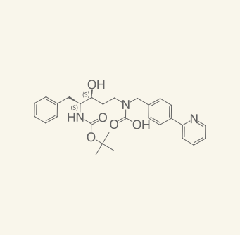 CC(C)(C)OC(=O)N[C@@H](Cc1ccccc1)[C@@H](O)CCN(Cc1ccc(-c2ccccn2)cc1)C(=O)O